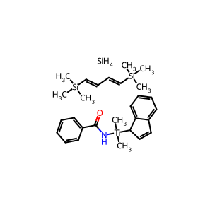 C[Si](C)(C)C=CC=C[Si](C)(C)C.[CH3][Ti]([CH3])([NH]C(=O)c1ccccc1)[CH]1C=Cc2ccccc21.[SiH4]